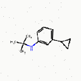 CC(C)(C)Nc1cccc(C2CC2)c1